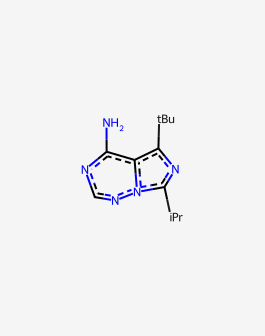 CC(C)c1nc(C(C)(C)C)c2c(N)ncnn12